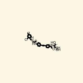 C=C(N[C@H](C(=O)NO)[C@@H](C)O)c1ccc(C#Cc2ccc(NC(=O)CNCc3ccc(Cl)cc3Cl)cc2)cc1